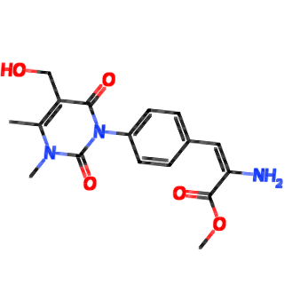 COC(=O)/C(N)=C\c1ccc(-n2c(=O)c(CO)c(C)n(C)c2=O)cc1